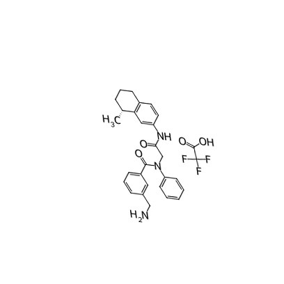 C[C@@H]1CCCc2ccc(NC(=O)CN(C(=O)c3cccc(CN)c3)c3ccccc3)cc21.O=C(O)C(F)(F)F